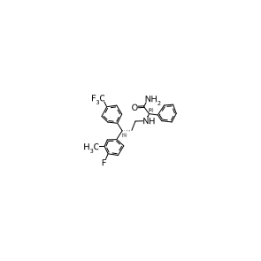 Cc1cc([C@@H](CCN[C@@H](C(N)=O)c2ccccc2)c2ccc(C(F)(F)F)cc2)ccc1F